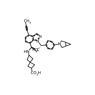 CC#Cc1ccc(C(=O)NC2CC3(C2)CC(C(=O)O)C3)c2c1cnn2[C@@H](C)c1ccc(N2CC3CC3C2)cc1